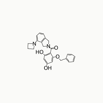 O=C(c1c(O)cc(O)cc1OCc1ccccc1)N1Cc2cccc(N3CCC3)c2C1